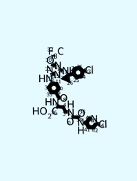 O=C(NCC[C@H](NC(=O)c1ccc(Nc2nc(NC3(c4ccc(Cl)cc4)CC3)nc(OCC(F)(F)F)n2)cc1)C(=O)O)C(=O)Nc1ccc(Cl)nc1